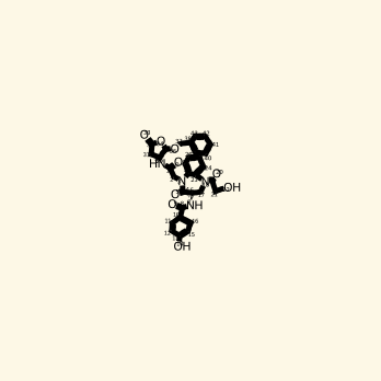 O=C(CN1C(=O)[C@@H](NC(=O)c2ccc(O)cc2)CN(C(=O)CO)c2ccccc21)N[C@H]1CC(=O)OC1OCc1ccccc1